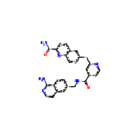 NC(=O)c1ccc2cc(Cc3cc(C(=O)NCc4ccc5c(N)nccc5c4)ccn3)ccc2n1